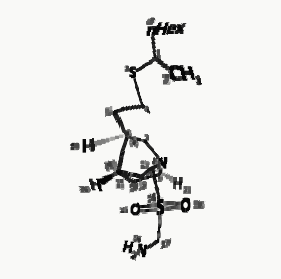 CCCCCCC(C)SCC[C@H]1CN2CC[C@H]1C[C@@H]2S(=O)(=O)CN